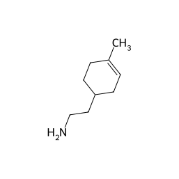 CC1=CCC(CCN)CC1